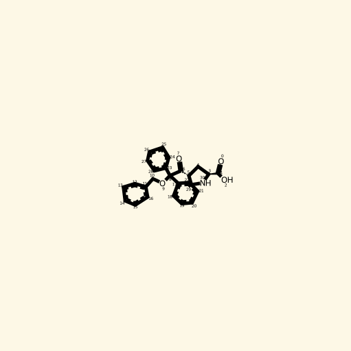 O=C(O)[C@@H]1C[C@@H](C(=O)C(OCc2ccccc2)(c2ccccc2)c2ccccc2)CN1